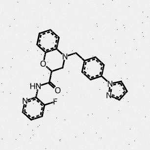 O=C(Nc1ncccc1F)C1CN(Cc2ccc(-n3cccn3)cc2)c2ccccc2O1